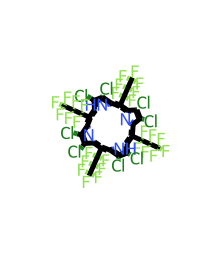 FC(F)(F)C(F)(F)C(F)(F)c1c2nc(c(C(F)(F)C(F)(F)C(F)(F)F)c3[nH]c(c(Cl)c3Cl)c(C(F)(F)C(F)(F)C(F)(F)F)c3nc(c(C(F)(F)C(F)(F)C(F)(F)F)c4[nH]c1c(Cl)c4Cl)C(Cl)=C3Cl)C(Cl)=C2Cl